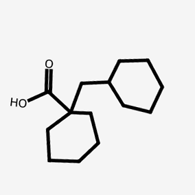 O=C(O)C1(CC2CCCCC2)CCCCC1